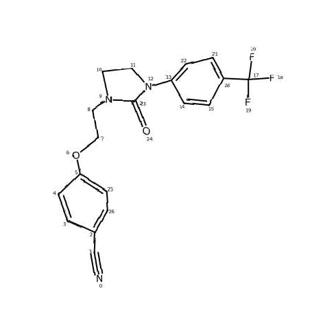 N#Cc1ccc(OCCN2CCN(c3ccc(C(F)(F)F)cc3)C2=O)cc1